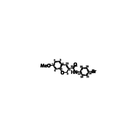 COc1ccc2c(c1)OCC(C(=O)Nc1ccc(Br)cc1)=C2